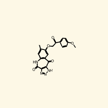 COc1ccc(C(=O)COc2cc3c(=O)c4[nH]nnc4c(=O)[nH]c3cc2C)cc1